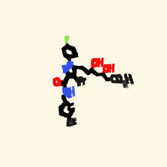 CCc1ccc(CNC(=O)c2nn(-c3ccc(F)cc3)c(CC[C@@H](O)C[C@@H](O)CC(=O)O)c2C(C)C)cc1